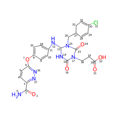 NC(=O)c1ccc(Oc2ccc(NC3NC(=O)N(CCC(=O)O)C(=O)N3CC3C=CC(Cl)=CC3)cc2)nn1